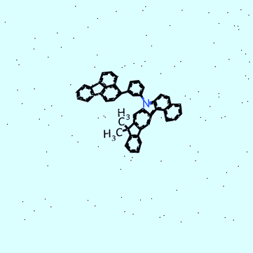 CC1(C)c2ccccc2-c2cc3c4c5ccccc5ccc4n(-c4cccc(-c5ccc6c7c(cccc57)-c5ccccc5-6)c4)c3cc21